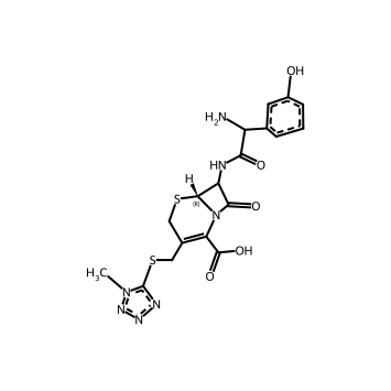 Cn1nnnc1SCC1=C(C(=O)O)N2C(=O)C(NC(=O)C(N)c3cccc(O)c3)[C@H]2SC1